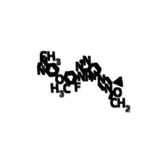 C=CC(=O)N1CCN(c2ccc3ncnc(Nc4ccc(Oc5ccc6c(c5)ncn6C)c(C)c4F)c3n2)C[C@@H]1C1CC1